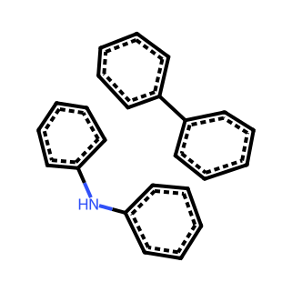 c1ccc(-c2ccccc2)cc1.c1ccc(Nc2ccccc2)cc1